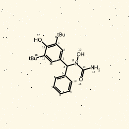 CC(C)(C)c1cc(C(c2ccccc2)N(O)C(N)=O)cc(C(C)(C)C)c1O